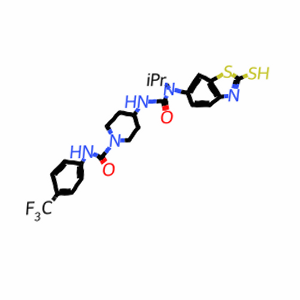 CC(C)N(C(=O)NC1CCN(C(=O)Nc2ccc(C(F)(F)F)cc2)CC1)c1ccc2nc(S)sc2c1